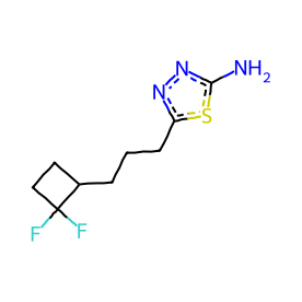 Nc1nnc(CCCC2CCC2(F)F)s1